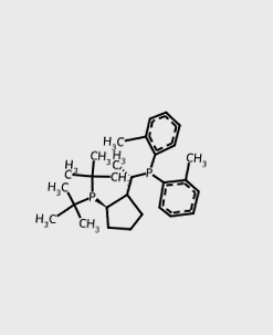 Cc1ccccc1P(c1ccccc1C)[C@@H](C)C1CCC[C@H]1P(C(C)(C)C)C(C)(C)C